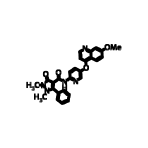 COc1ccc2c(Oc3ccc(NC(=O)c4c(-c5ccccc5)n(C)n(C)c4=O)nc3)ccnc2c1